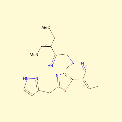 C/C=C(\C=N/N(C)CC(=N)/C(=C\NC)COC)c1cnc(Cc2cc[nH]n2)s1